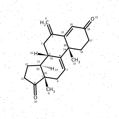 C=C1C[C@@H]2C(=CC[C@]3(C)C(=O)CC[C@@H]23)[C@@]2(C)CCC(=O)C=C12